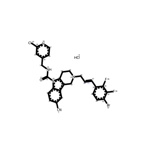 Cl.N#Cc1ccc2c(c1)c1c(n2C(=O)NCc2ccnc(Cl)c2)CCN(C/C=C/c2ccc(Br)c(F)c2F)C1